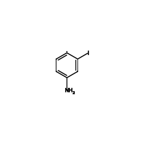 Nc1cc[c]c(I)c1